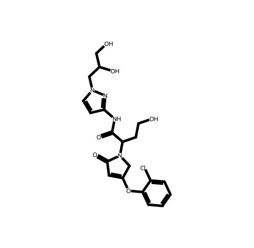 O=C(Nc1ccn(CC(O)CO)n1)C(CCO)N1CC(Oc2ccccc2Cl)=CC1=O